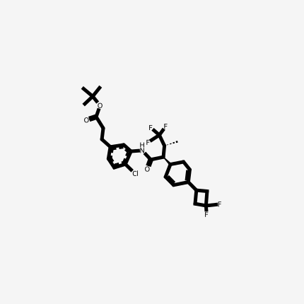 C[C@H]([C@H](C(=O)Nc1cc(CCC(=O)OC(C)(C)C)ccc1Cl)C1C=CC(C2CC(F)(F)C2)=CC1)C(F)(F)F